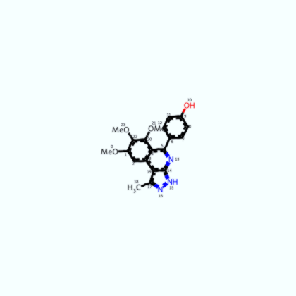 COc1cc2c(c(-c3ccc(O)cc3)nc3[nH]nc(C)c32)c(OC)c1OC